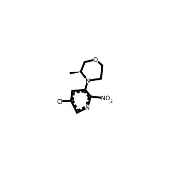 C[C@H]1COCCN1c1cc(Cl)cnc1[N+](=O)[O-]